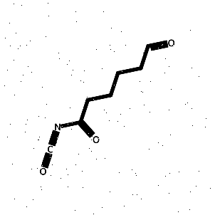 O=C=NC(=O)CCCCC=O